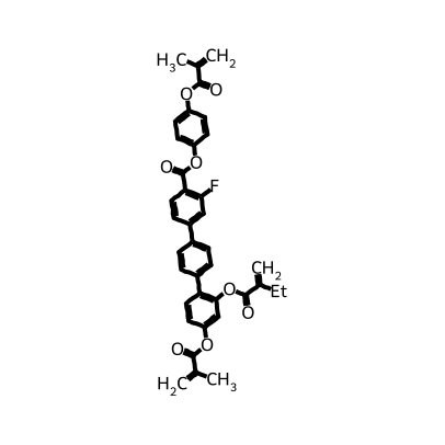 C=C(C)C(=O)Oc1ccc(OC(=O)c2ccc(-c3ccc(-c4ccc(OC(=O)C(=C)C)cc4OC(=O)C(=C)CC)cc3)cc2F)cc1